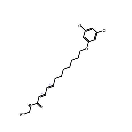 CC(C)CNC(=S)/C=C/C=C/CCCCCCCOc1cc(Cl)cc(Cl)c1